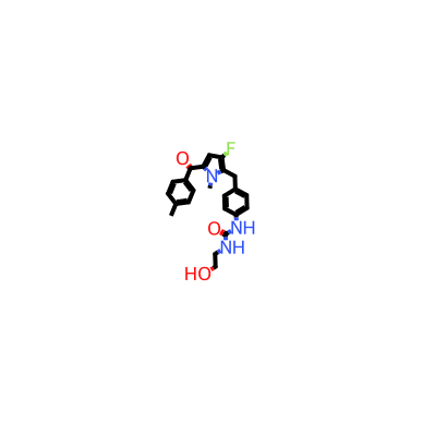 Cc1ccc(C(=O)c2cc(F)c(Cc3ccc(NC(=O)NCCO)cc3)n2C)cc1